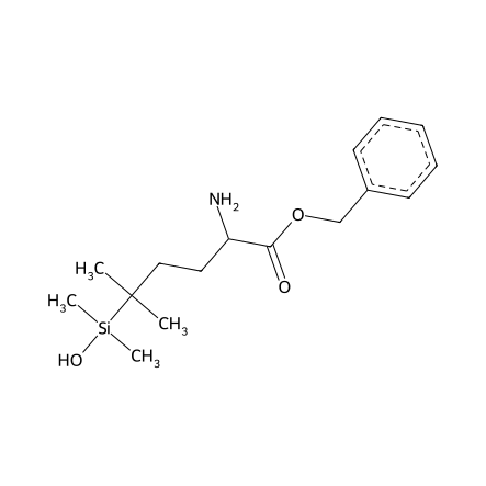 CC(C)(CCC(N)C(=O)OCc1ccccc1)[Si](C)(C)O